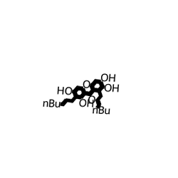 CCCCC=CCc1c(O)cc2oc3cc(O)c(O)c(CC=CCCCC)c3c(=O)c2c1O